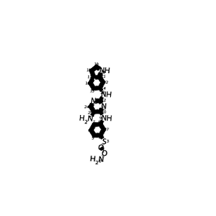 NOOSc1cccc(Nc2nc(Nc3ccc4cc[nH]c4c3)ncc2N)c1